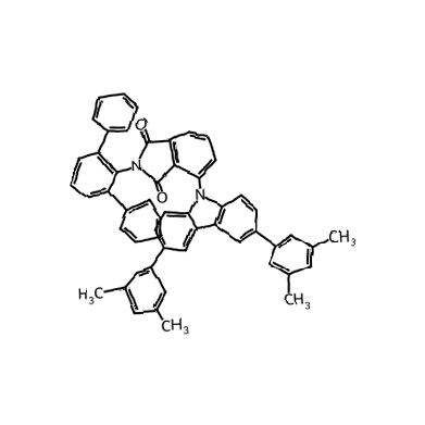 Cc1cc(C)cc(-c2ccc3c(c2)c2cc(-c4cc(C)cc(C)c4)ccc2n3-c2cccc3c2C(=O)N(c2c(-c4ccccc4)cccc2-c2ccccc2)C3=O)c1